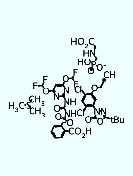 C#CCOc1cc(-n2nc(C(C)(C)C)oc2=O)c(Cl)cc1Cl.C[S+](C)C.O=C(Nc1nc(OC(F)F)cc(OC(F)F)n1)NS(=O)(=O)c1ccccc1C(=O)O.O=C(O)CNCP(=O)([O-])O